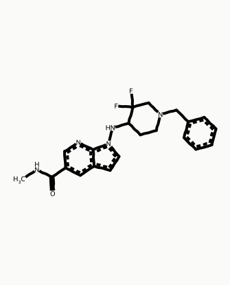 CNC(=O)c1cnc2c(ccn2NC2CCN(Cc3ccccc3)CC2(F)F)c1